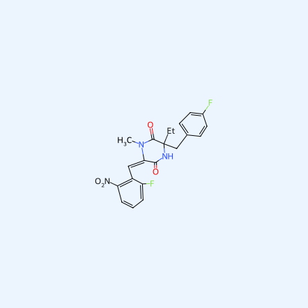 CCC1(Cc2ccc(F)cc2)NC(=O)C(=Cc2c(F)cccc2[N+](=O)[O-])N(C)C1=O